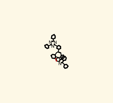 C1=C(c2cccc(-c3nc(-c4ccccc4)nc(-c4ccccc4)n3)c2)Cc2ccccc2C2(c3ccccc31)c1ccccc1-c1nc(-c3ccccc3)c3ccccc3c12